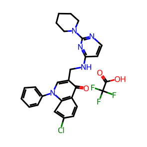 O=C(O)C(F)(F)F.O=c1c(CNc2ccnc(N3CCCCC3)n2)cn(-c2ccccc2)c2cc(Cl)ccc12